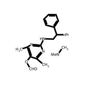 CCCC(CNc1nc(C)c(OC=O)c(C)n1)c1ccccc1.CNC